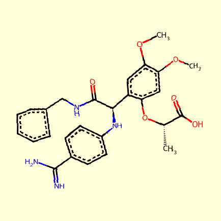 COc1cc(O[C@@H](C)C(=O)O)c([C@@H](Nc2ccc(C(=N)N)cc2)C(=O)NCc2ccccc2)cc1OC